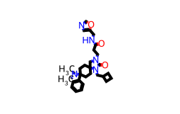 CN(C)C1(c2ccccc2)CCC2(CC1)CN(CCC(=O)NCc1cnco1)C(=O)N2CC1CCC1